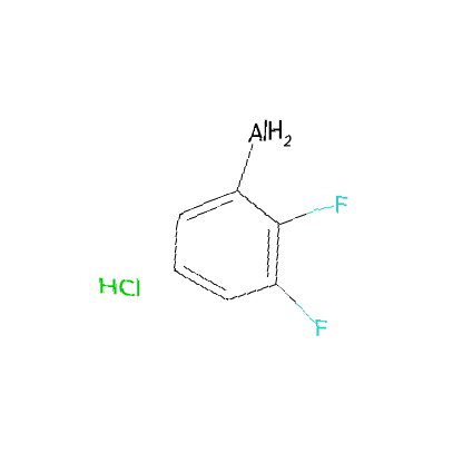 Cl.Fc1ccc[c]([AlH2])c1F